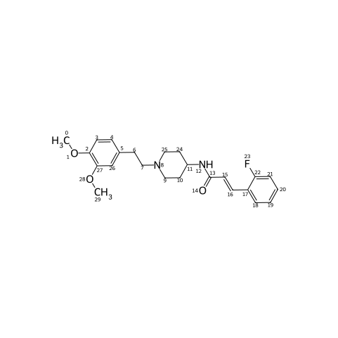 COc1ccc(CCN2CCC(NC(=O)/C=C/c3ccccc3F)CC2)cc1OC